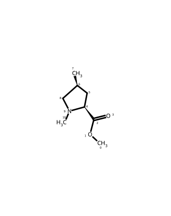 COC(=O)[C@@H]1C[C@H](C)CN1C